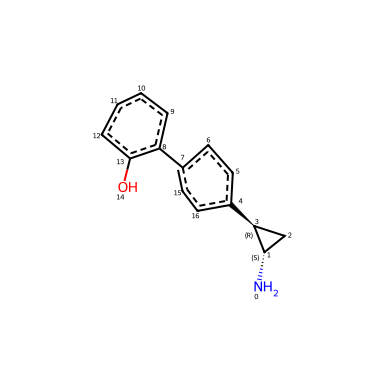 N[C@H]1C[C@@H]1c1ccc(-c2ccccc2O)cc1